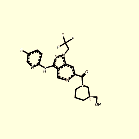 O=C(c1cc2c(cn1)c(Nc1ccc(F)cn1)nn2CC(F)(F)F)N1CCC[C@H](CO)C1